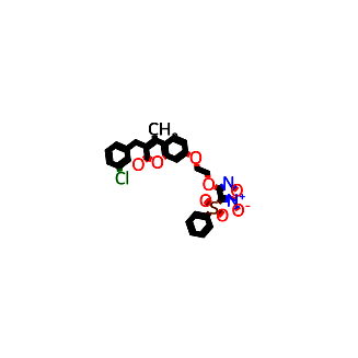 Cc1c(Cc2cccc(Cl)c2)c(=O)oc2cc(OCCOc3no[n+]([O-])c3S(=O)(=O)c3ccccc3)ccc12